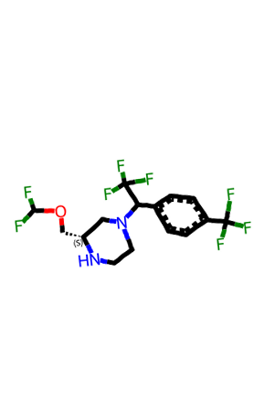 FC(F)OC[C@@H]1CN(C(c2ccc(C(F)(F)F)cc2)C(F)(F)F)CCN1